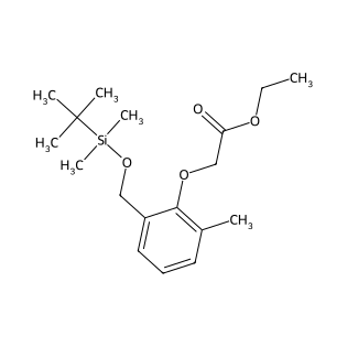 CCOC(=O)COc1c(C)cccc1CO[Si](C)(C)C(C)(C)C